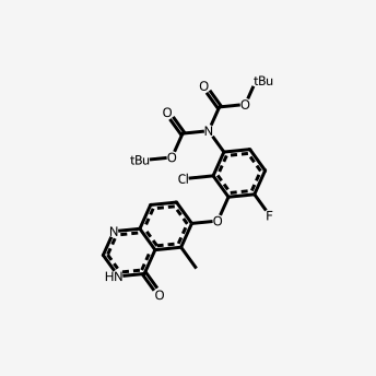 Cc1c(Oc2c(F)ccc(N(C(=O)OC(C)(C)C)C(=O)OC(C)(C)C)c2Cl)ccc2nc[nH]c(=O)c12